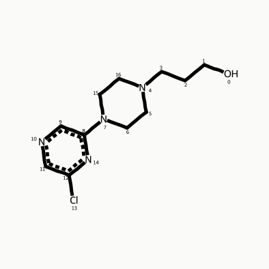 OCCCN1CCN(c2cncc(Cl)n2)CC1